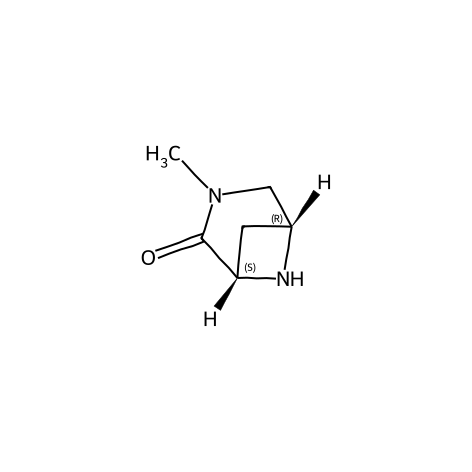 CN1C[C@H]2C[C@H](N2)C1=O